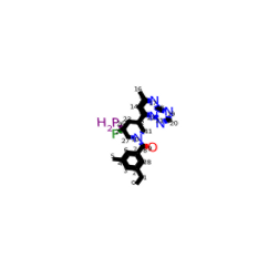 CCc1cc(C)cc(C(=O)N2CC(c3cc(C)nc4ncnn34)CC(F)(P)C2)c1